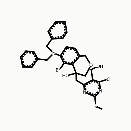 CSc1nc(Cl)c(CO)c(CC2(O)COCc3ccc(N(Cc4ccccc4)Cc4ccccc4)c(Br)c32)n1